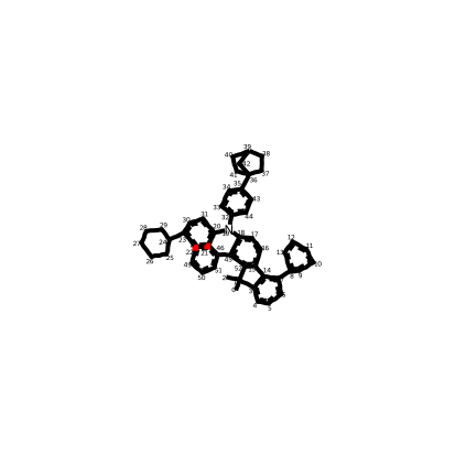 CC1(C)c2cccc(-c3ccccc3)c2-c2ccc(N(c3ccc(C4CCCCC4)cc3)c3ccc(C45CCC(CC4)C5)cc3)c(-c3ccccc3)c21